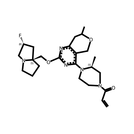 C=CC(=O)N1CCN(c2nc(OC[C@@]34CCCN3C[C@H](F)C4)nc3c2COC(C)C3)[C@@H](C)C1